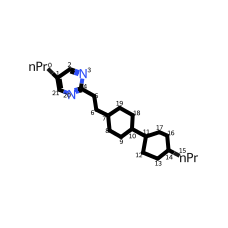 CCCc1cnc(CCC2CCC(C3CCC(CCC)CC3)CC2)nc1